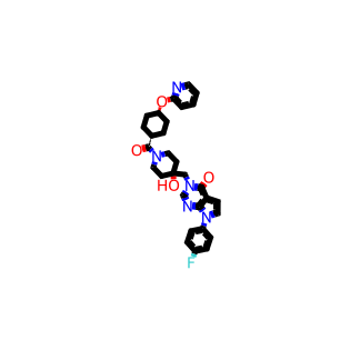 O=c1c2ccn(-c3ccc(F)cc3)c2ncn1CC1(O)CCN(C(=O)[C@H]2CC[C@H](Oc3ccccn3)CC2)CC1